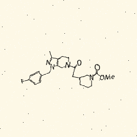 COC(=O)N1CCCC(CC(=O)N2CCc3c(C)nn(Cc4ccc(F)cc4)c3C2)C1